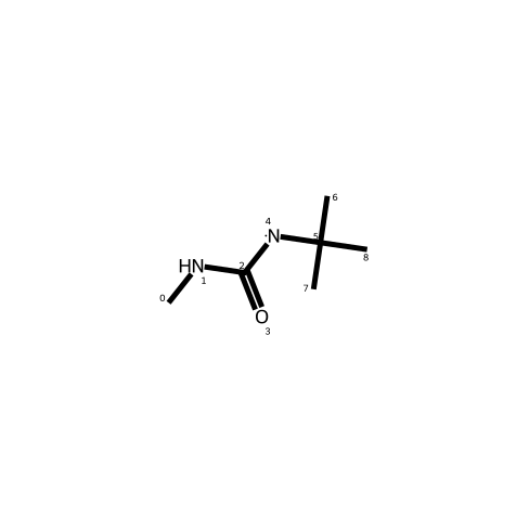 CNC(=O)[N]C(C)(C)C